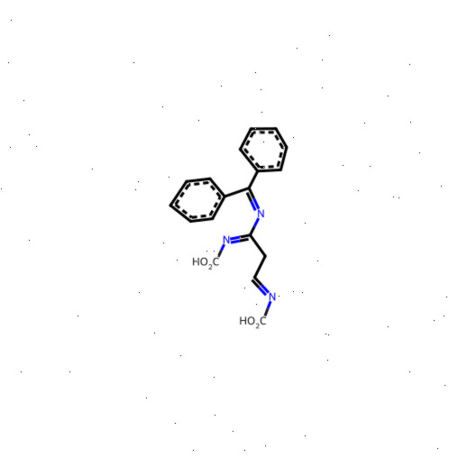 O=C(O)N=CCC(=NC(=O)O)N=C(c1ccccc1)c1ccccc1